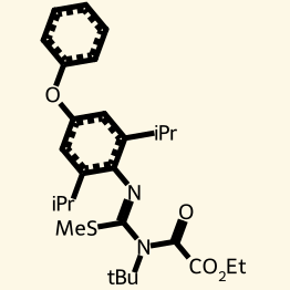 CCOC(=O)C(=O)N(C(=Nc1c(C(C)C)cc(Oc2ccccc2)cc1C(C)C)SC)C(C)(C)C